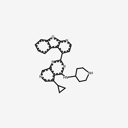 c1ccc2c(c1)oc1nccc(-c3nc(NC4CCNCC4)c4c(C5CC5)cncc4n3)c12